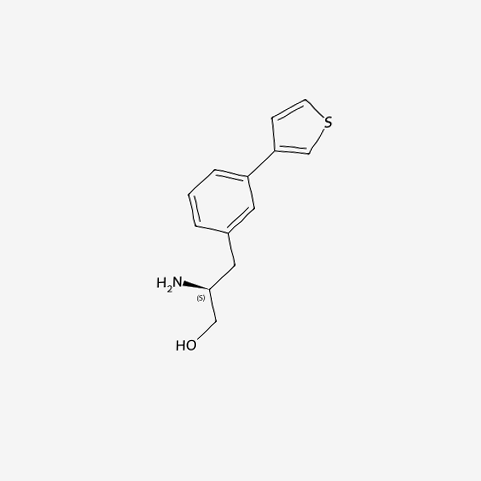 N[C@H](CO)Cc1cccc(-c2ccsc2)c1